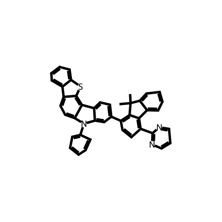 CC1(C)c2ccccc2-c2c(-c3ncccn3)ccc(-c3ccc4c5c6sc7ccccc7c6ccc5n(-c5ccccc5)c4c3)c21